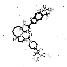 CN(C)S(=O)(=O)N1CCN(C(=O)[C@@H]2CC[C@@H]3CCCC[C@H](NC(=O)c4cc5cc(C(F)(F)P(=O)(O)O)ccc5s4)C(=O)N32)CC1